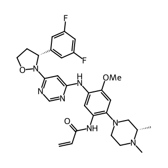 C=CC(=O)Nc1cc(Nc2cc(N3OCC[C@@H]3c3cc(F)cc(F)c3)ncn2)c(OC)cc1N1CCN(C)[C@@H](C)C1